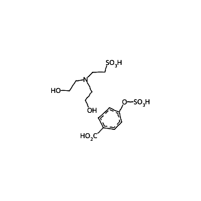 O=C(O)c1ccc(OS(=O)(=O)O)cc1.O=S(=O)(O)CCN(CCO)CCO